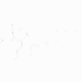 CCCC1CCC(CCC2CCC(C=C(C)c3cc(F)c(C(F)(F)F)c(F)c3)CC2)CC1